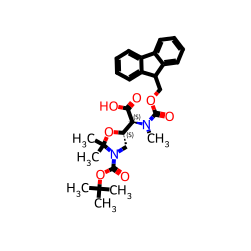 CN(C(=O)OCC1c2ccccc2-c2ccccc21)[C@H](C(=O)O)[C@@H]1CN(C(=O)OC(C)(C)C)C(C)(C)O1